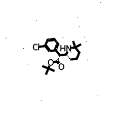 CC1(C)CCC[C@H]([C@H](C(=O)OC(C)(C)C)c2cccc(Cl)c2)N1